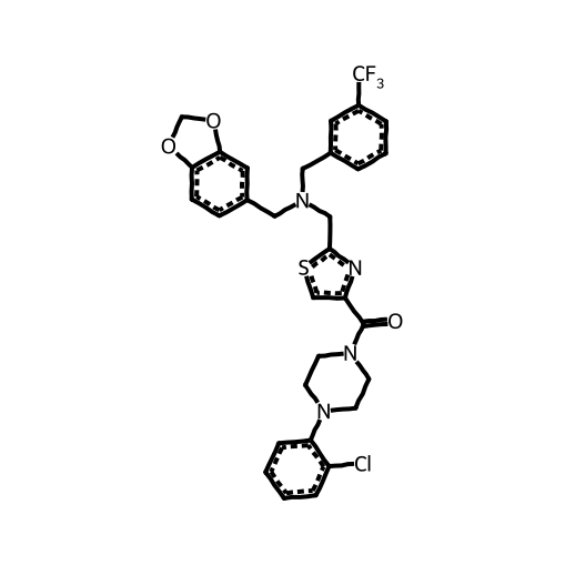 O=C(c1csc(CN(Cc2cccc(C(F)(F)F)c2)Cc2ccc3c(c2)OCO3)n1)N1CCN(c2ccccc2Cl)CC1